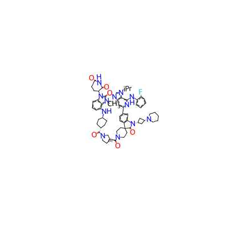 CC(C)n1cnc2cc(-c3ccc4c(c3)N([C@H]3C[C@@H](N5CCCCC5)C3)C(=O)C43CCN(C(=O)[C@H]4CCN(C(=O)[C@H]5CC[C@H](Nc6cccc7c6n(C)c(=O)n7C6CCC(=O)NC6=O)CC5)C4)CC3)nc(Nc3ccccc3F)c21